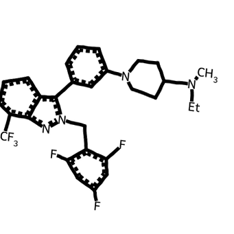 CCN(C)C1CCN(c2cccc(-c3c4cccc(C(F)(F)F)c4nn3Cc3c(F)cc(F)cc3F)c2)CC1